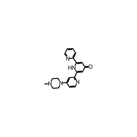 CN1CCN(c2ccnc(-c3cc(=O)cc(-c4ccccn4)[nH]3)c2)CC1